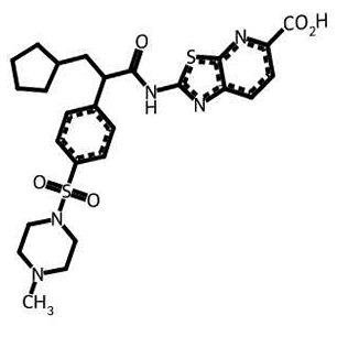 CN1CCN(S(=O)(=O)c2ccc(C(CC3CCCC3)C(=O)Nc3nc4ccc(C(=O)O)nc4s3)cc2)CC1